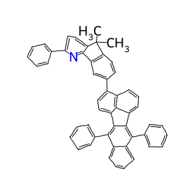 CC1(C)c2ccc(-c3ccc4c5c(cccc35)-c3c-4c(-c4ccccc4)c4ccccc4c3-c3ccccc3)cc2-c2nc(-c3ccccc3)ccc21